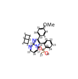 C1CC2CCC12.COc1ccc(-c2nc3ncccn3c2-c2ccccc2S(C)(=O)=O)cc1